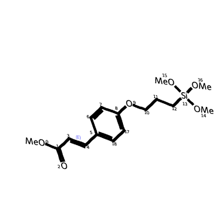 COC(=O)/C=C/c1ccc(OCCC[Si](OC)(OC)OC)cc1